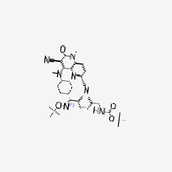 Cn1c(=O)c(C#N)c(N(C)[C@H]2CC[C@@H](/C(=N\OC(C)(C)C)c3ccc(CNC(=O)OC(C)(C)C)cc3)CC2)c2nc(C#N)ccc21